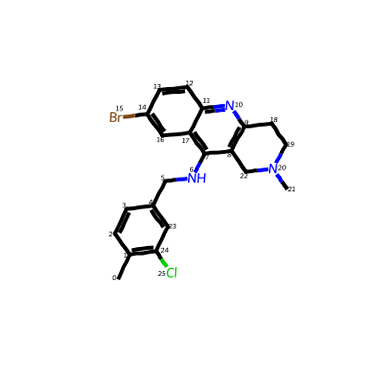 Cc1ccc(CNc2c3c(nc4ccc(Br)cc24)CCN(C)C3)cc1Cl